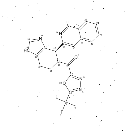 CC(C)(F)c1nnc(C(=O)N2CCc3[nH]cnc3[C@H]2c2cc3ccccc3nn2)o1